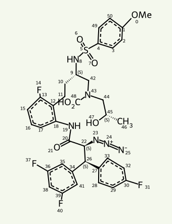 COc1ccc(S(=O)(=O)N[C@@H](CCc2c(F)cccc2NC(=O)[C@@H](N=[N+]=[N-])[C@@H](c2ccc(F)cc2)c2cc(F)cc(F)c2)CN(C[C@H](C)O)C(=O)O)cc1